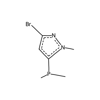 Cn1nc(Br)cc1P(C)C